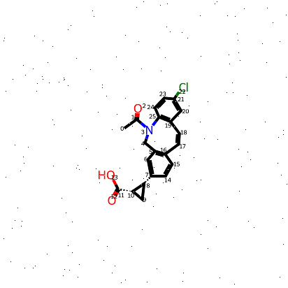 CC(=O)N1Cc2cc([C@@H]3C[C@@H]3C(=O)O)ccc2/C=C\c2cc(Cl)ccc21